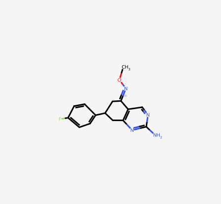 CO/N=C1\CC(c2ccc(F)cc2)Cc2nc(N)ncc21